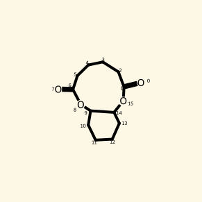 O=C1CCCCC(=O)OC2CCCCC2O1